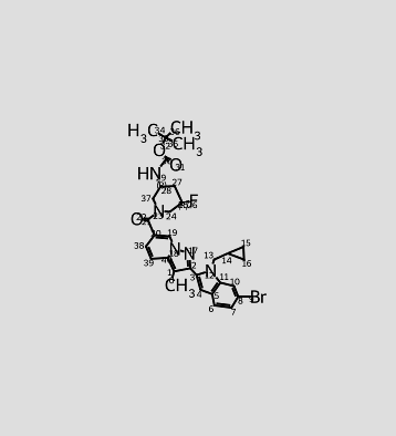 Cc1c(-c2cc3ccc(Br)cc3n2CC2CC2)nn2cc(C(=O)N3C[C@H](F)C[C@@H](NC(=O)OC(C)(C)C)C3)ccc12